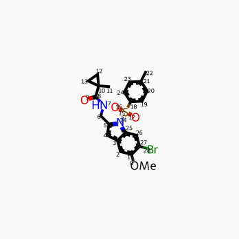 COc1cc2cc(CNC(=O)C3(C)CC3)n(S(=O)(=O)c3ccc(C)cc3)c2cc1Br